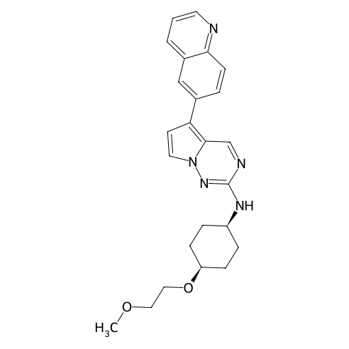 COCCO[C@H]1CC[C@@H](Nc2ncc3c(-c4ccc5ncccc5c4)ccn3n2)CC1